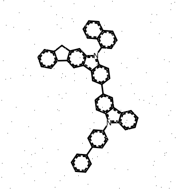 c1ccc(-c2ccc(-n3c4ccccc4c4cc(-c5ccc6c(c5)c5cc7c(cc5n6-c5cccc6ccccc56)Cc5ccccc5-7)ccc43)cc2)cc1